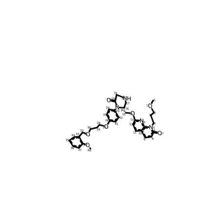 COCCCn1c(=O)ccc2ccc(OC[C@H]3CNCC(=O)N3c3ccc(OCCCOCc4ccccc4OC)cc3)nc21